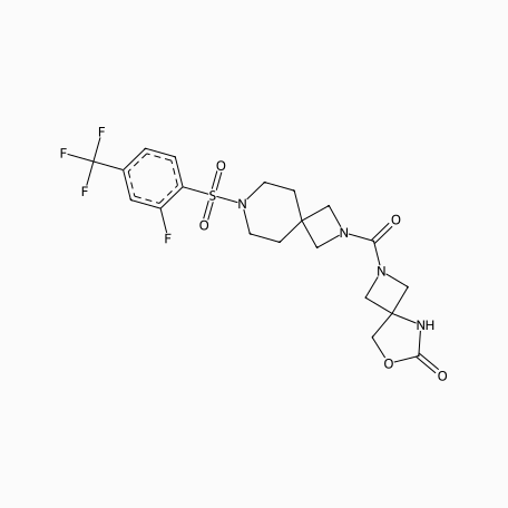 O=C1NC2(CO1)CN(C(=O)N1CC3(CCN(S(=O)(=O)c4ccc(C(F)(F)F)cc4F)CC3)C1)C2